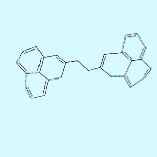 C1=C(CCC2=Cc3cccc4cccc(c34)C2)Cc2cccc3cccc1c23